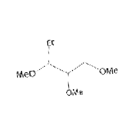 CCC(OC)C(COC)OC